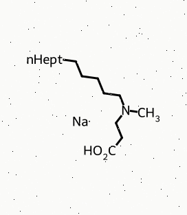 CCCCCCCCCCCCN(C)CCC(=O)O.[Na]